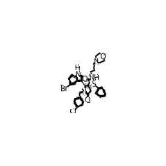 O=C1C[C@](Sc2ccccc2)(C(=O)NCCCN2CCOCC2)[C@H](c2c[nH]c3ccc(Br)cc23)N1Cc1ccc(Cl)cc1